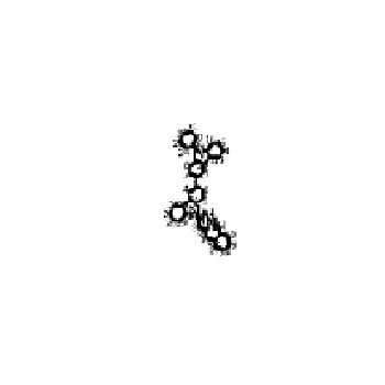 C1=CC2C(C=C1c1ccc3c(c1)c1ccccc1n3-c1ccccc1)c1ccccc1N2c1cc2cc3ccccc3cn2n1